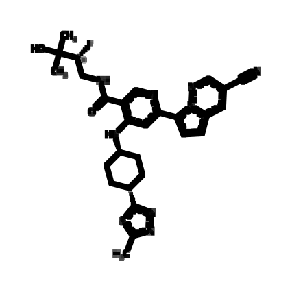 Cc1nnc([C@H]2CC[C@H](Nc3cc(-c4ccc5cc(C#N)cnn45)ncc3C(=O)NC[C@@H](F)C(C)(C)O)CC2)s1